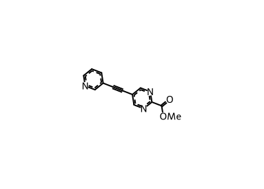 COC(=O)c1ncc(C#Cc2cccnc2)cn1